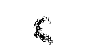 CCOC(=O)CC(=O)c1cc(F)c(N2CC(NC(=O)OC(C)(C)C)C3(CC3)C2)cc1F